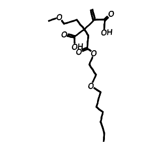 C=C(C(=O)O)C(CCOC)(CC(=O)OCCOCCCCCC)C(=O)O